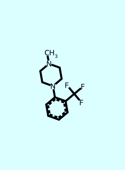 CN1CCN(c2ccccc2C(F)(F)F)CC1